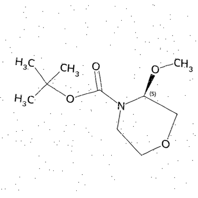 CO[C@H]1COCCN1C(=O)OC(C)(C)C